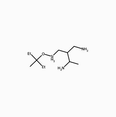 CCC(C)(CC)O[SiH2]CC(CN)C(C)N